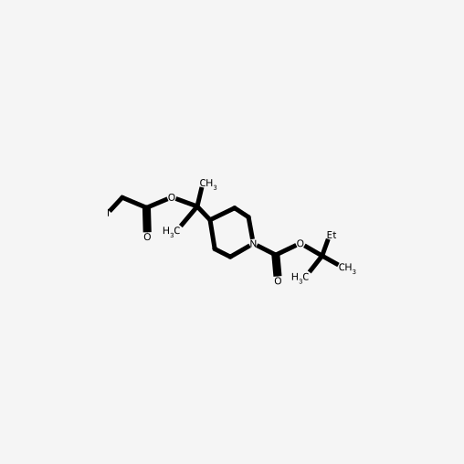 CCC(C)(C)OC(=O)N1CCC(C(C)(C)OC(=O)CI)CC1